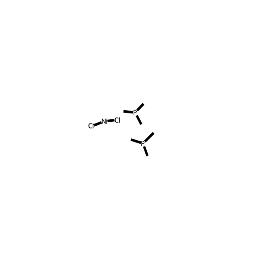 CP(C)C.CP(C)C.[Cl][Ni][Cl]